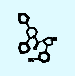 N#Cc1cccc([C@@H]2CNC[C@H]2C(=O)N2CC[C@H](c3ccccc3)C[C@@H]2c2ccccc2)c1